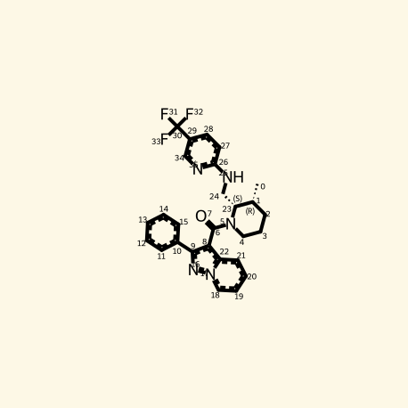 C[C@@H]1CCCN(C(=O)c2c(-c3ccccc3)nn3ccccc23)[C@@H]1CNc1ccc(C(F)(F)F)cn1